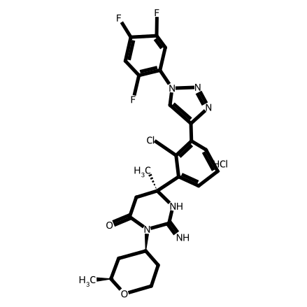 C[C@H]1C[C@@H](N2C(=N)N[C@](C)(c3cccc(-c4cn(-c5cc(F)c(F)cc5F)nn4)c3Cl)CC2=O)CCO1.Cl